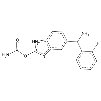 NC(=O)Oc1nc2cc(C(N)c3ccccc3F)ccc2[nH]1